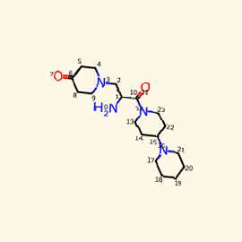 NC(CN1CCC(=O)CC1)C(=O)N1CCC(N2CCCCC2)CC1